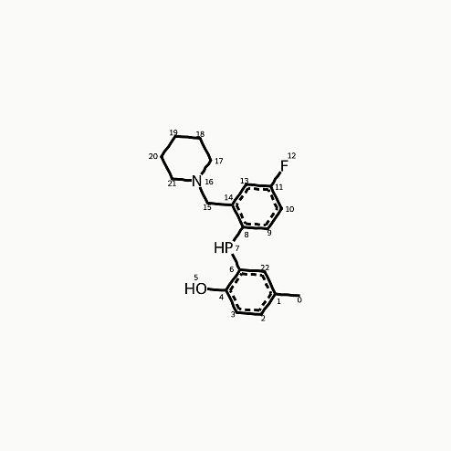 Cc1ccc(O)c(Pc2ccc(F)cc2CN2CCCCC2)c1